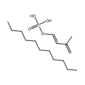 C=C(C)C=COP(=O)(O)O.CCCCCCCCCCC